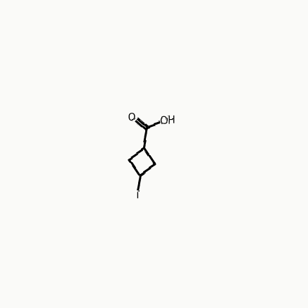 O=C(O)C1CC(I)C1